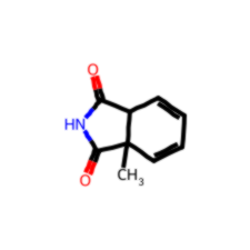 CC12C=CC=CC1C(=O)NC2=O